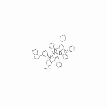 CC(C)(C)c1ccc(N(c2cccc(-c3cccc4ccccc34)c2)c2ccc3c(n2)N(c2ccccc2)c2cc(C4CCCCC4)cc4c2B3c2ccccc2N4c2ccccc2)c(-c2cccc3ccccc23)c1